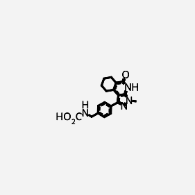 Cn1nc(-c2ccc(CNC(=O)O)cc2)c2c3c(c(=O)[nH]c21)CCCC3